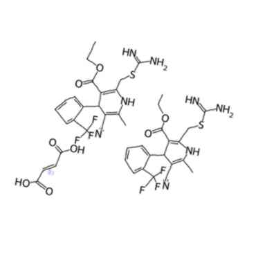 CCOC(=O)C1=C(CSC(=N)N)NC(C)=C(C#N)C1c1ccccc1C(F)(F)F.CCOC(=O)C1=C(CSC(=N)N)NC(C)=C(C#N)C1c1ccccc1C(F)(F)F.O=C(O)/C=C/C(=O)O